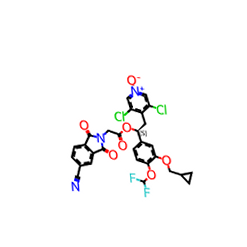 N#Cc1ccc2c(c1)C(=O)N(CC(=O)O[C@@H](Cc1c(Cl)c[n+]([O-])cc1Cl)c1ccc(OC(F)F)c(OCC3CC3)c1)C2=O